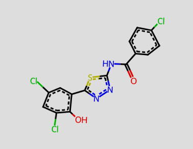 O=C(Nc1nnc(-c2cc(Cl)cc(Cl)c2O)s1)c1ccc(Cl)cc1